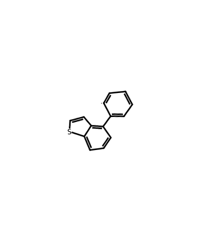 [c]1ccccc1-c1cccc2sccc12